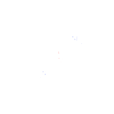 NCCCCCCC(=O)C(=O)CCCCCCN